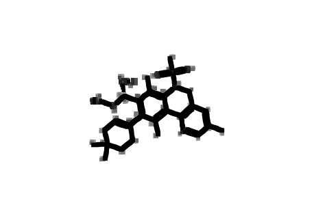 Cc1cnc2c(c1)CN(S(C)(=O)=O)c1c(C)c([C@H](OC(C)(C)C)C(=O)O)c(C3=CCC(C)(C)CC3)c(C)c1-2